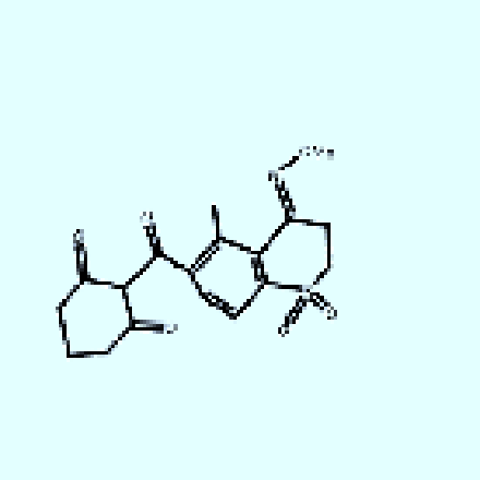 CON=C1CCS(=O)(=O)c2ccc(C(=O)C3C(=O)CCCC3=O)c(C)c21